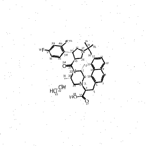 C[C@@H]1CN(C(Cc2ccc3ccccc3c2)C(=O)O)C[C@H](C)N1C(=O)[C@@H]1CN(C(C)(C)C)C[C@H]1c1ccc(F)cc1F.Cl.Cl